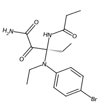 CCC(=O)N[C@](CC)(C(=O)C(N)=O)N(CC)c1ccc(Br)cc1